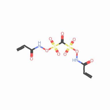 C=CC(=O)NOS(=O)(=O)C(=O)S(=O)(=O)ONC(=O)C=C